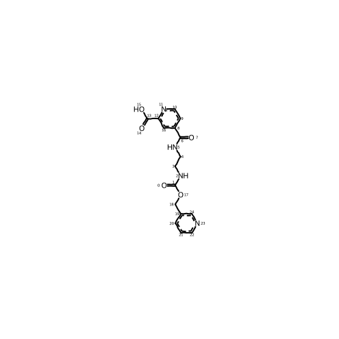 O=C(NCCNC(=O)c1ccnc(C(=O)O)c1)OCc1cccnc1